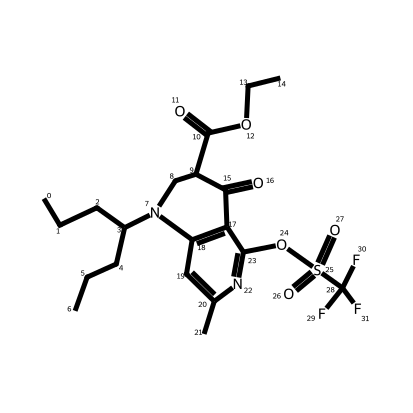 CCCC(CCC)N1CC(C(=O)OCC)C(=O)c2c1cc(C)nc2OS(=O)(=O)C(F)(F)F